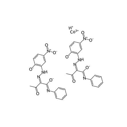 CC(=O)/C(=N/Nc1cc([N+](=O)[O-])ccc1[O-])C([O-])=Nc1ccccc1.CC(=O)/C(=N/Nc1cc([N+](=O)[O-])ccc1[O-])C([O-])=Nc1ccccc1.[Co+3].[H+]